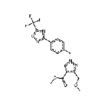 COCc1nn(Cc2ccc(-c3noc(C(F)(F)F)n3)cc2)cc1C(=O)OC